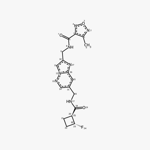 Cc1nonc1C(=O)NCc1cn2ncc(CNC(=O)[C@@H]3CC[C@H]3F)cc2n1